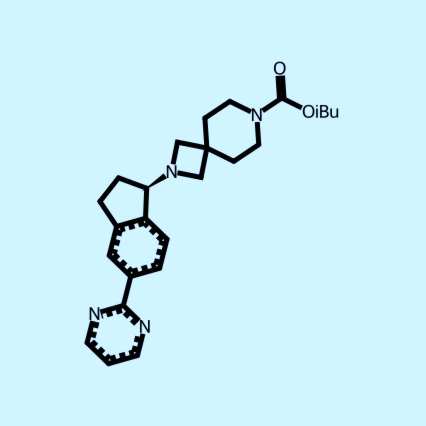 CC(C)COC(=O)N1CCC2(CC1)CN([C@@H]1CCc3cc(-c4ncccn4)ccc31)C2